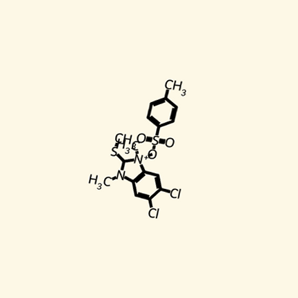 CSC1N(C)c2cc(Cl)c(Cl)cc2[N+]1(C)OS(=O)(=O)c1ccc(C)cc1